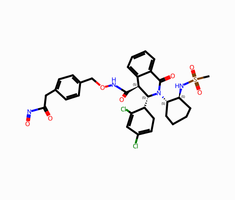 CS(=O)(=O)N[C@H]1CCCC[C@@H]1N1C(=O)c2ccccc2[C@H](C(=O)NOCc2ccc(CC(=O)N=O)cc2)[C@H]1C1CC=C(Cl)C=C1Cl